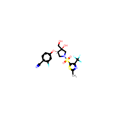 Cc1nc(C(F)(F)F)c(S(=O)(=O)N2C[C@H](Oc3ccc(C#N)c(F)c3)[C@](O)(CO)C2)s1